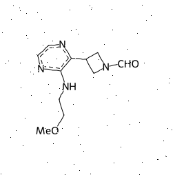 COCCNc1nccnc1C1CN(C=O)C1